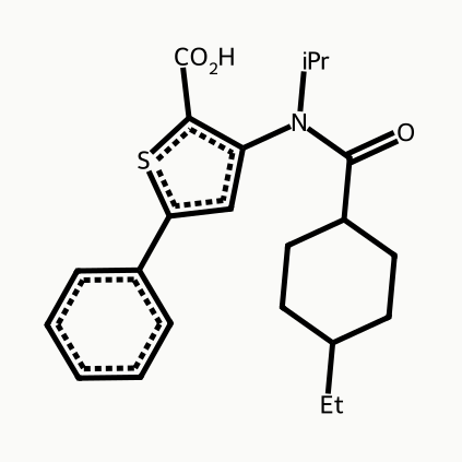 CCC1CCC(C(=O)N(c2cc(-c3ccccc3)sc2C(=O)O)C(C)C)CC1